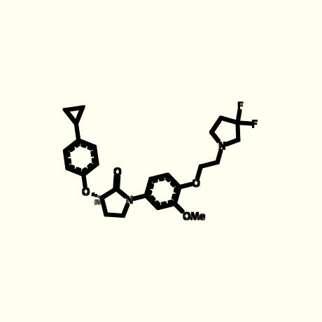 COc1cc(N2CC[C@H](Oc3ccc(C4CC4)cc3)C2=O)ccc1OCCN1CCC(F)(F)C1